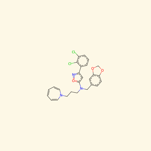 Clc1cccc(-c2cc(N(CCCN3C=CC=CC=C3)Cc3ccc4c(c3)OCO4)on2)c1Cl